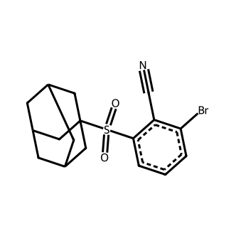 N#Cc1c(Br)cccc1S(=O)(=O)C12CC3CC(CC(C3)C1)C2